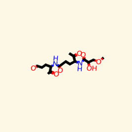 COCC(O)C(=O)NC(CCC(=O)NC(CCC=O)C(C)=O)C(C)=O